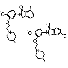 COc1ccc(N2Cc3cc(Cl)ccc3C2=O)cc1OCCN1CCC(C)CC1.COc1ccc(N2Cc3cccc(C)c3C2=O)cc1OCCN1CCC(C)CC1